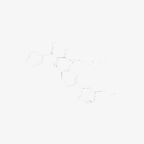 O=C(O)CCn1c(=O)c(C(=O)c2ccccc2)nc2ccc(-c3cccc(OC(F)(F)F)c3)cc21